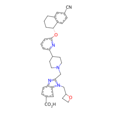 N#Cc1ccc2c(c1)CCC[C@H]2Oc1cccc(C2CCN(Cc3nc4ccc(C(=O)O)cc4n3CC3CCO3)CC2)n1